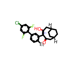 CCc1ccc(-c2c(F)cc(Cl)cc2F)cc1/C1=C(\O)C[C@H]2CC[C@H](CC2)CC1=O